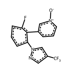 [O-][n+]1cccc(-c2c(F)cccc2-n2cc(C(F)(F)F)cn2)c1